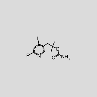 CC(C)(Cc1cnc(F)cc1I)OC(N)=O